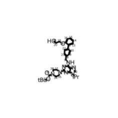 CC(C)n1cnc2c(NCc3ccc(-c4ccccc4OCCO)cc3)nc(N3CCN(C(=O)OC(C)(C)C)CC3)nc21